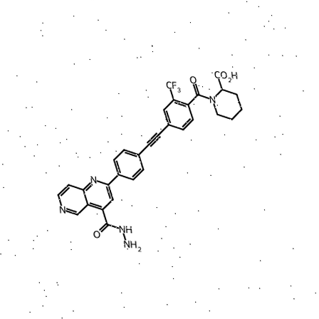 NNC(=O)c1cc(-c2ccc(C#Cc3ccc(C(=O)N4CCCCC4C(=O)O)c(C(F)(F)F)c3)cc2)nc2ccncc12